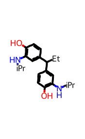 CCC(c1ccc(O)c(NC(C)C)c1)c1ccc(O)c(NC(C)C)c1